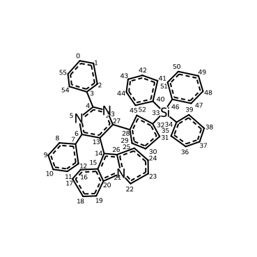 c1ccc(-c2nc(-c3ccccc3)c(-c3c4ccccc4n4ccccc34)c(-c3cccc([Si](c4ccccc4)(c4ccccc4)c4ccccc4)c3)n2)cc1